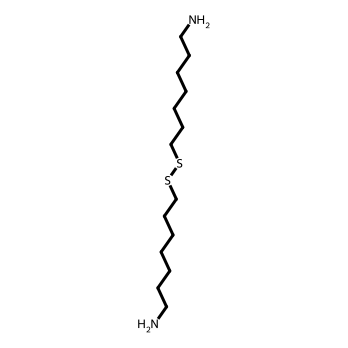 NCCCCCCCSSCCCCCCCN